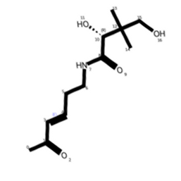 CC(=O)/C=C/CCNC(=O)[C@H](O)C(C)(C)CO